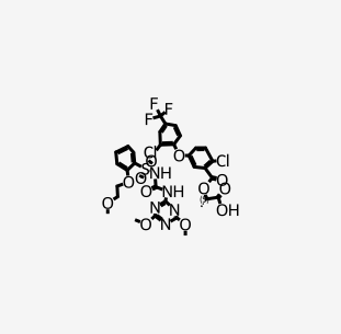 COCCOc1ccccc1S(=O)(=O)NC(=O)Nc1nc(OC)nc(OC)n1.C[C@H](OC(=O)c1cc(Oc2ccc(C(F)(F)F)cc2Cl)ccc1Cl)C(=O)O